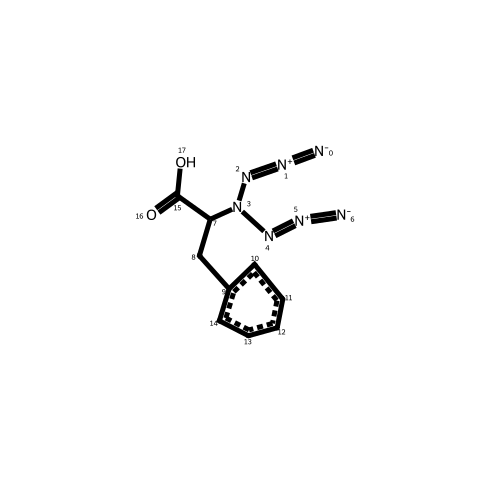 [N-]=[N+]=NN(N=[N+]=[N-])C(Cc1ccccc1)C(=O)O